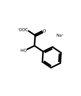 O=C([O-])C(=O)C(O)c1ccccc1.[Na+]